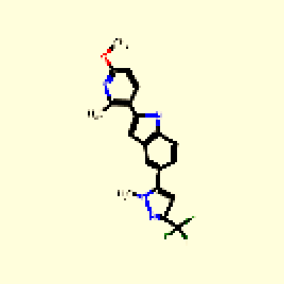 COc1ccc(-c2cc3cc(-c4cc(C(F)(F)F)nn4C)ccc3[nH]2)c(C)n1